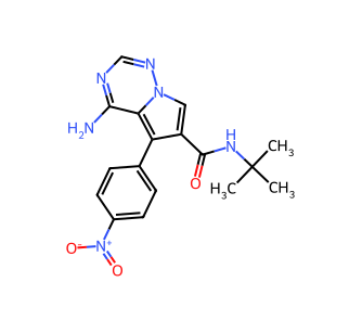 CC(C)(C)NC(=O)c1cn2ncnc(N)c2c1-c1ccc([N+](=O)[O-])cc1